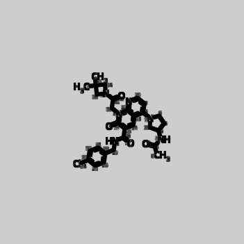 CC(=O)NC1CCN(c2ccnc3c2cc(C(=O)NCc2ccc(Cl)cc2)c(=O)n3CC(=O)N2CC(C)(C)C2)C1